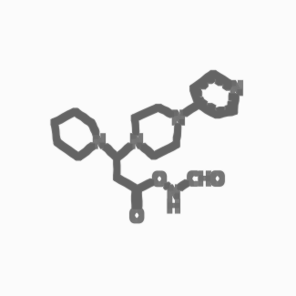 O=CNOC(=O)CC(N1CCCCC1)N1CCN(c2ccncc2)CC1